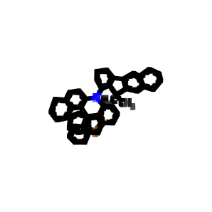 CC1(C)c2cc3ccccc3cc2-c2cccc(N(c3ccc4ccccc4c3-c3cccc4ccccc34)c3cccc4sc5ccccc5c34)c21